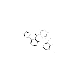 Cc1c(C#N)ccnc1O[C@@H]1CC[C@@H](C)N(C(=O)c2c(F)cccc2-n2nccn2)C1